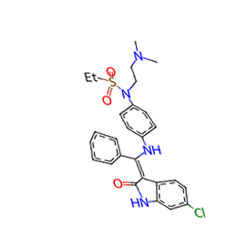 CCS(=O)(=O)N(CCN(C)C)c1ccc(NC(=C2C(=O)Nc3cc(Cl)ccc32)c2ccccc2)cc1